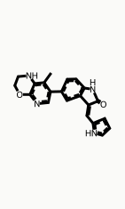 Cc1c(-c2ccc3c(c2)C(=Cc2ccc[nH]2)C(=O)N3)cnc2c1NCCO2